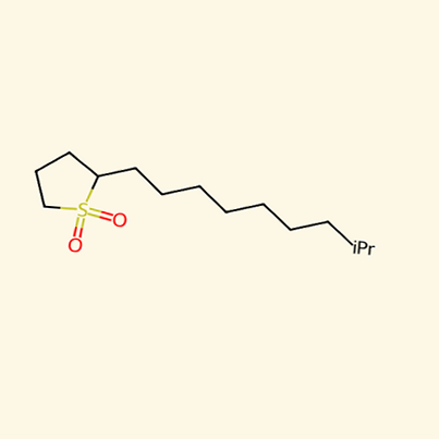 CC(C)CCCCCCCC1CCCS1(=O)=O